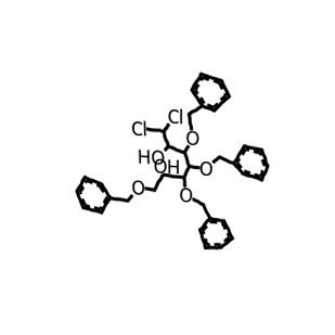 OC(COCc1ccccc1)C(OCc1ccccc1)C(OCc1ccccc1)C(OCc1ccccc1)C(O)C(Cl)Cl